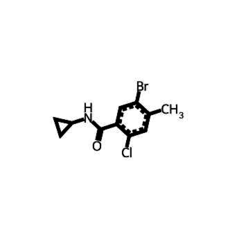 Cc1cc(Cl)c(C(=O)NC2CC2)cc1Br